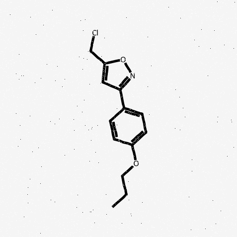 CCCOc1ccc(-c2cc(CCl)on2)cc1